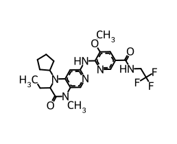 CCC1C(=O)N(C)c2cnc(Nc3ncc(C(=O)NCC(F)(F)F)cc3OC)cc2N1C1CCCC1